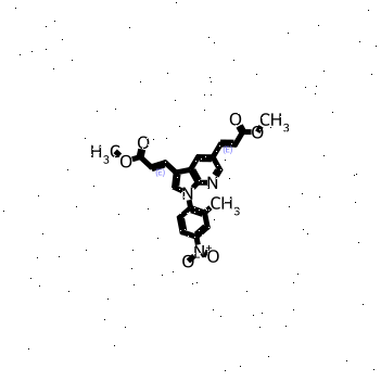 COC(=O)/C=C/c1cnc2c(c1)c(/C=C/C(=O)OC)cn2-c1ccc([N+](=O)[O-])cc1C